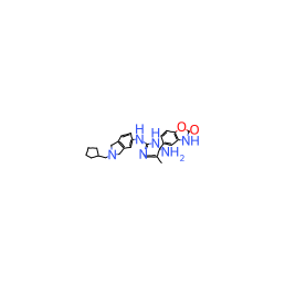 CC1=CN=C(Nc2ccc3c(c2)CN(CC2CCCC2)C3)NC1(N)c1ccc2oc(=O)[nH]c2c1